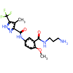 COc1ccc(NC(=O)c2n[nH]c(C(F)(F)F)c2C)cc1C(=O)NCCCN